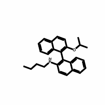 CCCCPc1ccc2ccccc2c1-c1c(OC(C)C)ccc2ccccc12